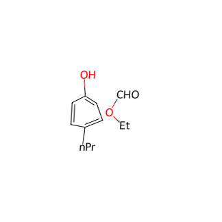 CCCc1ccc(O)cc1.CCOC=O